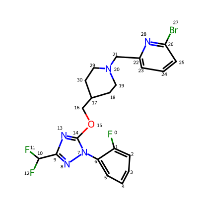 Fc1ccccc1-n1nc(C(F)F)nc1OCC1CCN(Cc2cccc(Br)n2)CC1